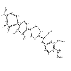 CCCCCCOc1ccc(CC(F)C2CCC(c3ccc(-c4ccc(OCC)c(F)c4F)c(F)c3F)CC2)cc1F